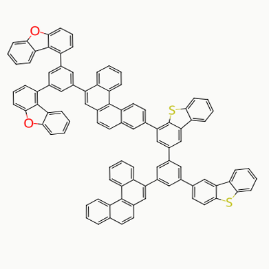 c1ccc2c(c1)ccc1cc(-c3cc(-c4ccc5sc6ccccc6c5c4)cc(-c4cc(-c5ccc6c(ccc7cc(-c8cc(-c9cccc%10oc%11ccccc%11c9%10)cc(-c9cccc%10oc%11ccccc%11c9%10)c8)c8ccccc8c76)c5)c5sc6ccccc6c5c4)c3)c3ccccc3c12